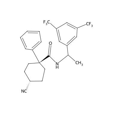 CC(NC(=O)[C@]1(c2ccccc2)CC[C@@H](C#N)CC1)c1cc(C(F)(F)F)cc(C(F)(F)F)c1